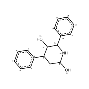 OC1CC(c2ccccc2)C(O)C(c2ccccc2)N1